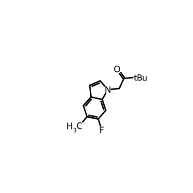 Cc1cc2ccn(CC(=O)C(C)(C)C)c2cc1F